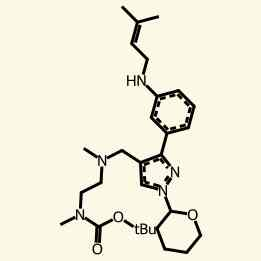 CC(C)=CCNc1cccc(-c2nn(C3CCCCO3)cc2CN(C)CCN(C)C(=O)OC(C)(C)C)c1